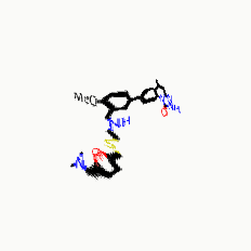 COc1ccc(-c2ccc3c(c2)c(C)cc2n[nH]c(=O)n23)cc1CNCCSCc1ccc(CN(C)C)o1